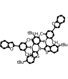 Cc1cc(-c2cc3ccccc3o2)cc(C)c1N1c2cc(C(C)(C)C)cc3c2B(c2sc4ccc(C(C)(C)C)cc4c21)c1sc2ccc(C(C)(C)C)cc2c1N3c1c(C)cc(-c2cc3ccccc3o2)cc1C